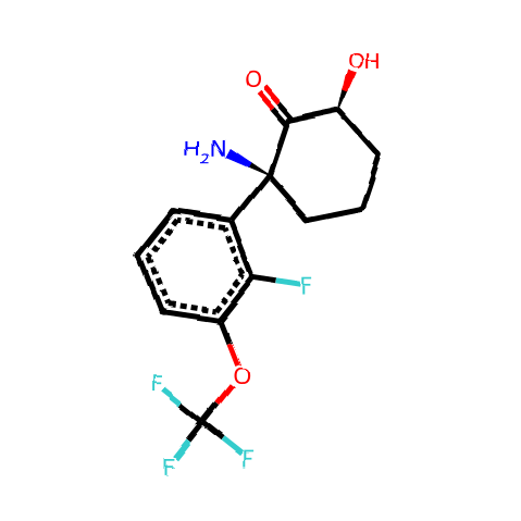 N[C@]1(c2cccc(OC(F)(F)F)c2F)CCC[C@H](O)C1=O